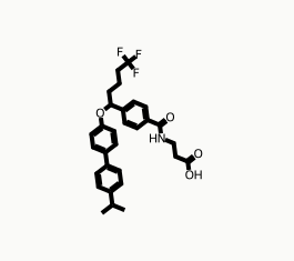 CC(C)c1ccc(-c2ccc(OC(CCCC(F)(F)F)c3ccc(C(=O)NCCC(=O)O)cc3)cc2)cc1